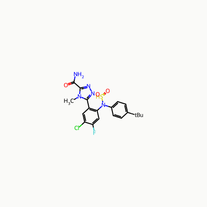 Cn1c(C(N)=O)nnc1-c1cc(Cl)c(F)cc1N(c1ccc(C(C)(C)C)cc1)[SH](=O)=O